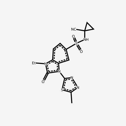 CCn1c(=O)n(-c2nnc(C)s2)c2cc(S(=O)(=O)NC3(C#N)CC3)ccc21